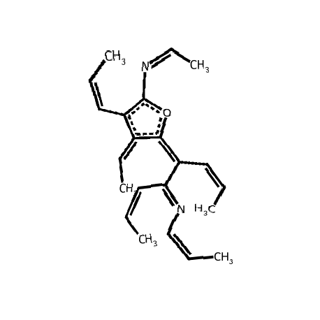 C\C=C/N=C(\C=C/C)C(/C=C\C)=c1/oc(/N=C\C)c(/C=C\C)/c1=C/C